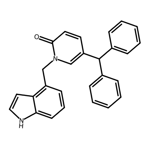 O=c1ccc(C(c2ccccc2)c2ccccc2)cn1Cc1cccc2[nH]ccc12